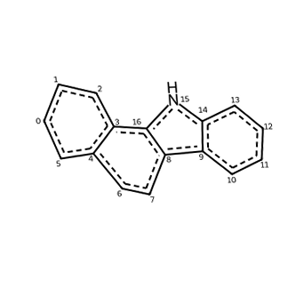 c1ccc2c(c1)ccc1c3ccccc3[nH]c21